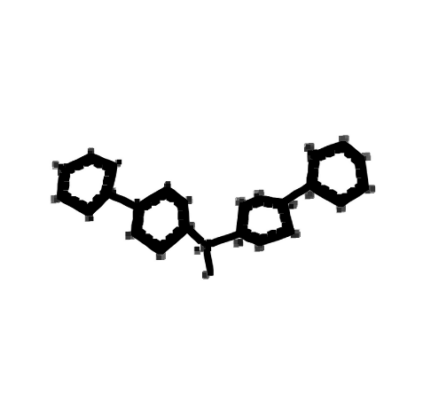 CN(c1ccc(-c2ccncc2)cc1)c1ccc(-c2ccccn2)cc1